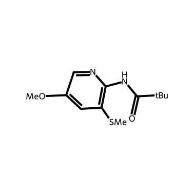 COc1cnc(NC(=O)C(C)(C)C)c(SC)c1